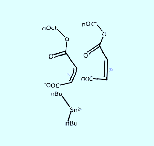 CCCCCCCCOC(=O)/C=C\C(=O)[O-].CCCCCCCCOC(=O)/C=C\C(=O)[O-].CCC[CH2][Sn+2][CH2]CCC